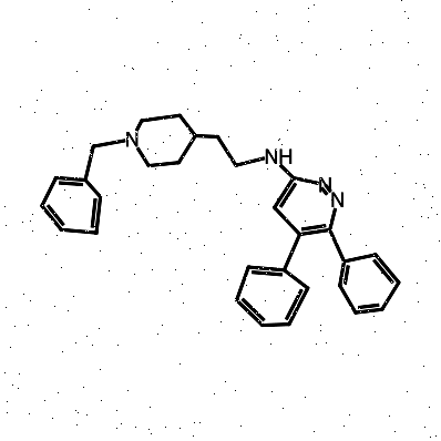 c1ccc(CN2CCC(CCNc3cc(-c4ccccc4)c(-c4ccccc4)nn3)CC2)cc1